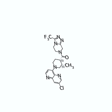 C[C@@H]1CN(c2ccnc3cc(Cl)cnc23)CC[C@@H]1C(=O)N1CCn2c(nnc2C(F)(F)F)C1